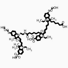 CCN1/C(=C/C=C/C2=[N+](CCNC(=O)CCCCCC3(C)\C(=C/C=C/C=C/C4=[N+](CC)c5ccc(SOOO)cc5C4(C)CCCCCC(=O)O)N(CC)c4ccc(S(=O)(=O)O)cc43)c3ccc(SOOO)cc3C2(C)C)C(C)(C)c2cc(S(=O)(=O)O)ccc21